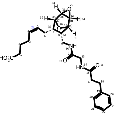 O=C(O)CCC/C=C\C[C@H]1[C@@H](CNC(=O)CNC(=O)CCc2ccccc2)[C@@H]2O[C@H]1[C@@H]1O[C@@H]12